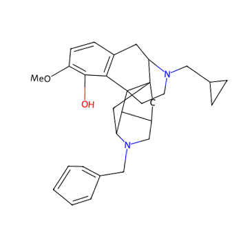 COc1ccc2c(c1O)C13CCN(CC4CC4)C(C2)C12CC1CN(Cc4ccccc4)C(C2)C13